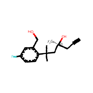 C#CC[C@](O)(CC(C)(C)c1ccc(F)cc1CO)C(F)(F)F